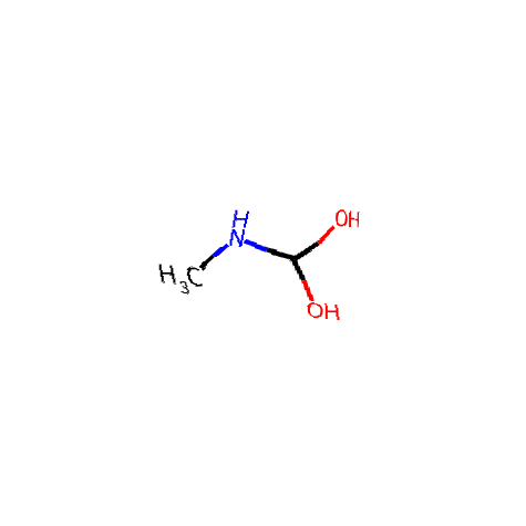 CNC(O)O